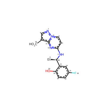 CC[C@@H](Nc1ccn2ncc(C(=O)O)c2n1)c1cc(F)ccc1O